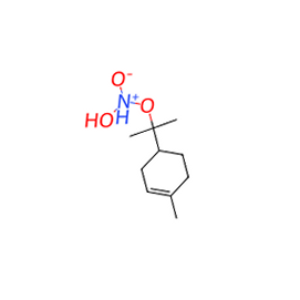 CC1=CCC(C(C)(C)O[NH+]([O-])O)CC1